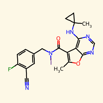 Cc1oc2ncnc(NC3(C)CC3)c2c1C(=O)N(I)Cc1ccc(F)c(C#N)c1